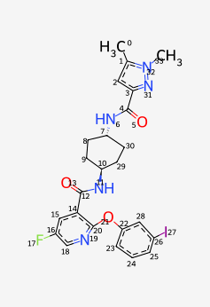 Cc1cc(C(=O)N[C@H]2CC[C@H](NC(=O)c3cc(F)cnc3Oc3cccc(I)c3)CC2)nn1C